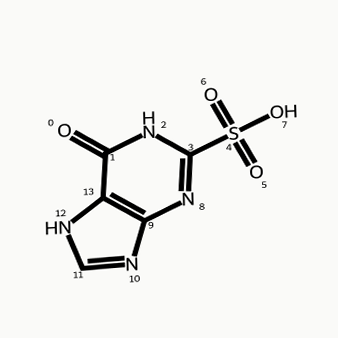 O=c1[nH]c(S(=O)(=O)O)nc2nc[nH]c12